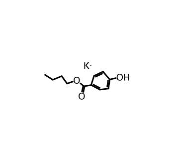 CCCCOC(=O)c1ccc(O)cc1.[K]